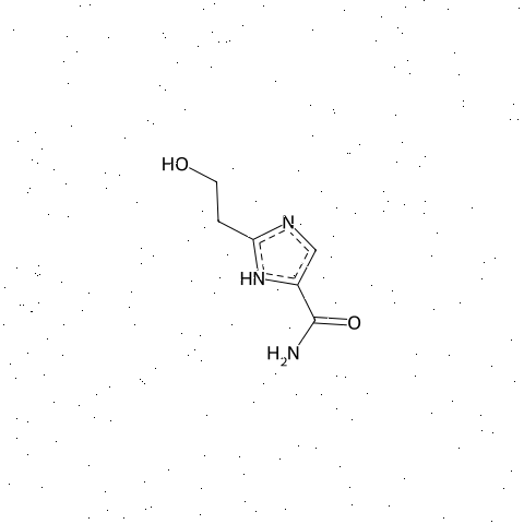 NC(=O)c1cnc(CCO)[nH]1